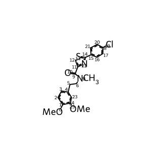 COc1ccc(CCN(C)C(=O)c2csc(-c3ccc(Cl)cc3)n2)cc1OC